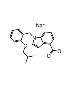 CC(C)COc1ccccc1Cn1ccc2c(C(=O)[O-])cccc21.[Na+]